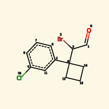 O=CC(Br)C1(c2cccc(Cl)c2)CCC1